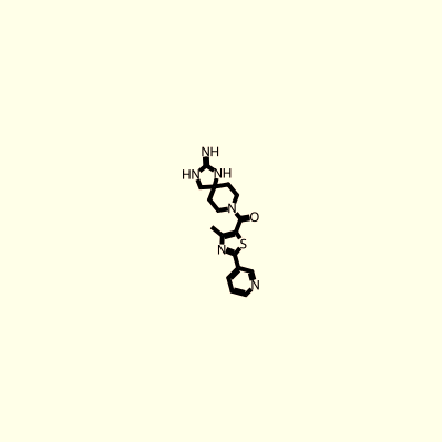 Cc1nc(-c2cccnc2)sc1C(=O)N1CCC2(CC1)CNC(=N)N2